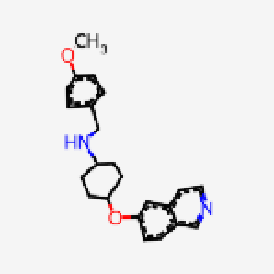 COc1ccc(CNC2CCC(Oc3ccc4cnccc4c3)CC2)cc1